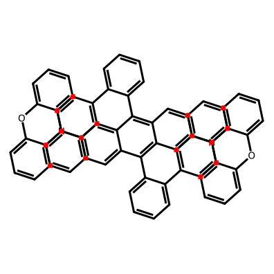 c1ccc2c(c1)Oc1ccccc1N2c1ccc2c(-c3ccccc3-c3ccc4ccccc4c3)c3cc(N4c5ccccc5Oc5ccccc54)ccc3c(-c3ccccc3-c3ccc4ccccc4c3)c2c1